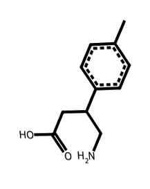 Cc1ccc(C(CN)CC(=O)O)cc1